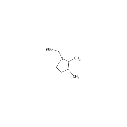 CCCCCN1CCC(C)C1C